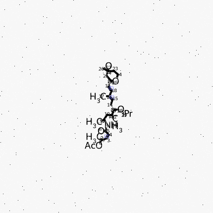 CC(=O)O[C@@H](C)/C=C\C(=O)N[C@@H](C)C[C@H](C)[C@H](C/C=C(C)/C=C/[C@@H]1C[C@@]2(CCO1)CO2)OC(C)C